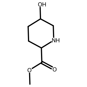 COC(=O)C1CCC(O)CN1